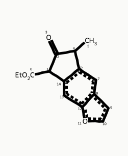 CCOC(=O)C1C(=O)C(C)c2cc3ccoc3cc21